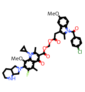 COc1ccc2c(c1)c(CC(=O)OCOC(=O)c1c(C)n(C3CC3)c3c(OC)c(N4CC5CCCNC5C4)c(F)c(C)c3c1=O)c(C)n2C(=O)c1ccc(Cl)cc1